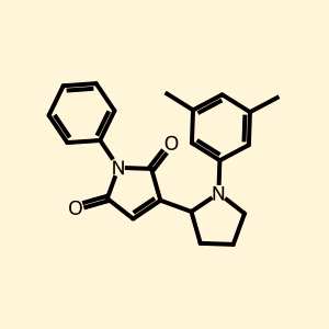 Cc1cc(C)cc(N2CCCC2C2=CC(=O)N(c3ccccc3)C2=O)c1